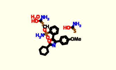 C.COc1ccc(-c2nc(C3CCCCC3)oc2-c2ccccc2S(N)(=O)=O)cc1.NC(O)=S.NC(O)=S.O